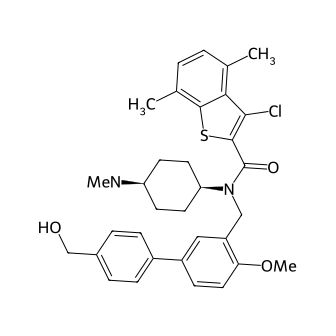 CN[C@H]1CC[C@@H](N(Cc2cc(-c3ccc(CO)cc3)ccc2OC)C(=O)c2sc3c(C)ccc(C)c3c2Cl)CC1